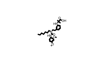 CCCCCCCN(CCc1cccc(NC(C)(C)C(=O)O)c1)C(=O)Nc1ccc(OC)cc1OC